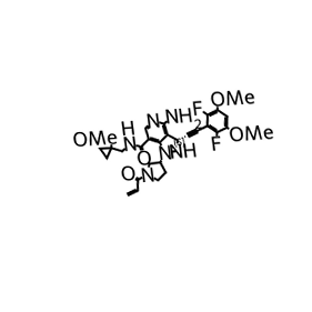 C=CC(=O)N1CCC(N2N[C@@H](C#Cc3c(F)c(OC)cc(OC)c3F)c3c(N)ncc(C(=O)NCC4(OC)CC4)c32)C1